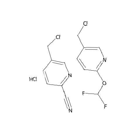 Cl.FC(F)Oc1ccc(CCl)cn1.N#Cc1ccc(CCl)cn1